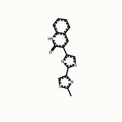 Cc1nc(-c2nc(-c3cc4ccccc4[nH]c3=O)cs2)cs1